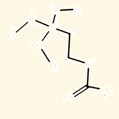 CCO[Si](CCOC(=O)C(F)(F)F)(OCC)OCC